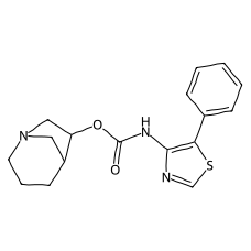 O=C(Nc1ncsc1-c1ccccc1)OC1CN2CCCC1C2